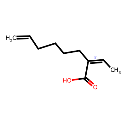 C=CCCCC/C(=C/C)C(=O)O